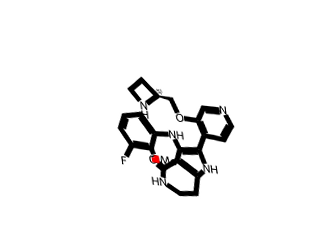 COc1c(F)cccc1Nc1c(-c2ccncc2OC[C@@H]2CCN2)[nH]c2c1C(=O)NCC2